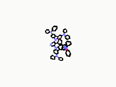 c1ccc(N(c2ccccc2)c2ccc3c(c2)c2cc(N(c4ccccc4)c4ccccc4)ccc2n3-c2cncc(-n3c4ccc(N(c5ccccc5)c5ccccc5)cc4c4cc(N(c5ccccc5)c5ccccc5)ccc43)c2-c2cccc(-c3ccncc3)c2)cc1